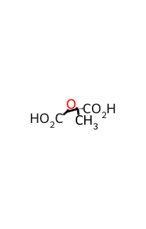 C[C@]1(C(=O)O)OC1C(=O)O